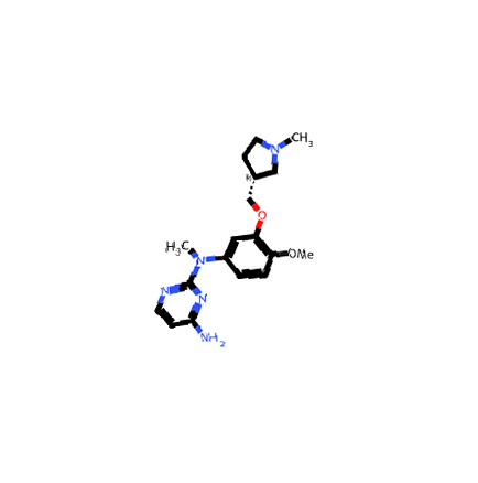 COc1ccc(N(C)c2nccc(N)n2)cc1OC[C@@H]1CCN(C)C1